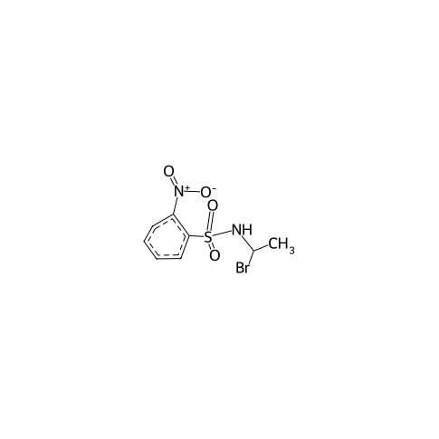 CC(Br)NS(=O)(=O)c1ccccc1[N+](=O)[O-]